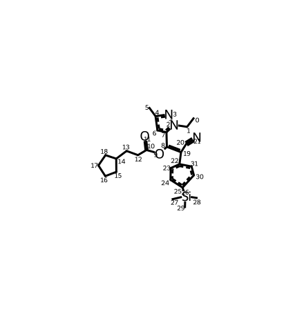 CCn1nc(C)cc1/C(OC(=O)CCC1CCCC1)=C(\C#N)c1ccc([Si](C)(C)C)cc1